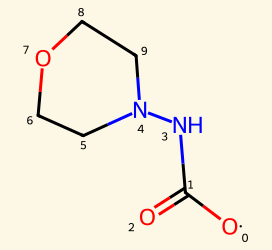 [O]C(=O)NN1CCOCC1